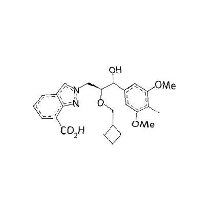 COc1cc([C@@H](O)[C@H](Cn2cc3cccc(C(=O)O)c3n2)OCC2CCC2)cc(OC)c1C